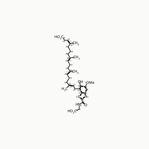 COc1cc2nc(C(=O)NCC(=O)O)sc2c(C/C=C(\C)CC/C=C(\C)CC/C=C(\C)CCC/C(C)=C\CC(=O)O)c1O